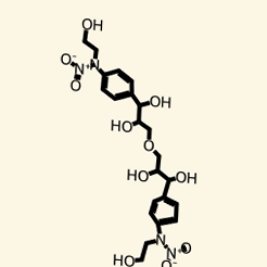 O=[N+]([O-])N(CCO)c1ccc(C(O)C(O)COCC(O)C(O)c2ccc(N(CCO)[N+](=O)[O-])cc2)cc1